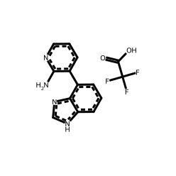 Nc1ncccc1-c1cccc2[nH]cnc12.O=C(O)C(F)(F)F